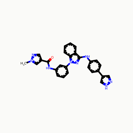 Cn1cc(C(=O)Nc2cccc(-n3nc(Nc4ccc(-c5cn[nH]c5)cc4)c4ccccc43)c2)cn1